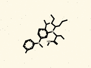 C=C(NC)C(CC)N(c1cc(N(C)c2cccc(C)c2)ccc1C(C)C)C(CCC)CCC